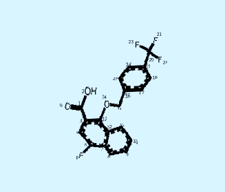 O=C(O)c1cc(F)c2ccccc2c1OCc1ccc(C(F)(F)F)cc1